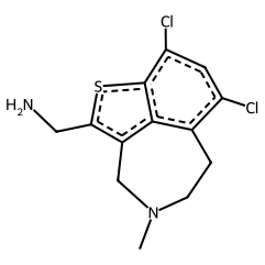 CN1CCc2c(Cl)cc(Cl)c3sc(CN)c(c23)C1